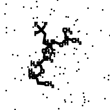 C=C[SiH](C)O[SiH2][SiH2]O[Si](C)(CCC(F)(F)F)[SiH2]O[SiH](C)C